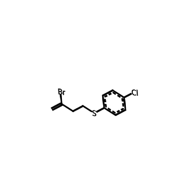 C=C(Br)CCSc1ccc(Cl)cc1